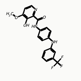 COc1ccnc(C(=O)Nc2ccc(Nc3cccc(C(F)(F)F)c3)cc2)c1O